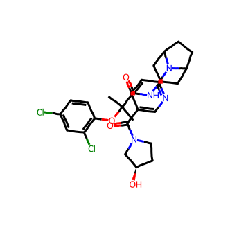 CC(C)(Oc1ccc(Cl)cc1Cl)C(=O)NC1CC2CCC(C1)N2c1ccc(C(=O)N2CC[C@@H](O)C2)cn1